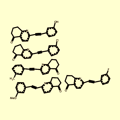 COc1cccc(C#Cc2ccc3c(n2)CCCC3=O)c1.Cc1cccc(C#Cc2ccc3c(n2)CCCC3=O)c1.O=C1CCCc2nc(C#Cc3cccc(Cl)c3)ccc21.O=C1CCCc2nc(C#Cc3cccc(F)c3)ccc21.O=C1CCCc2nc(C#Cc3cccc(O)c3)ccc21